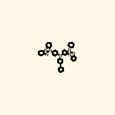 c1ccc(-c2ccc(N(c3ccc(-n4c5ccccc5n5c6ccccc6nc45)cc3)c3ccc4c(c3)n3c5ccccc5nc3n4-c3ccccc3)cc2)cc1